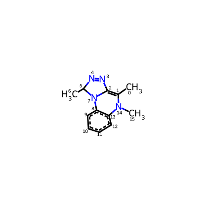 CC1=C2N=NC(C)N2c2ccccc2N1C